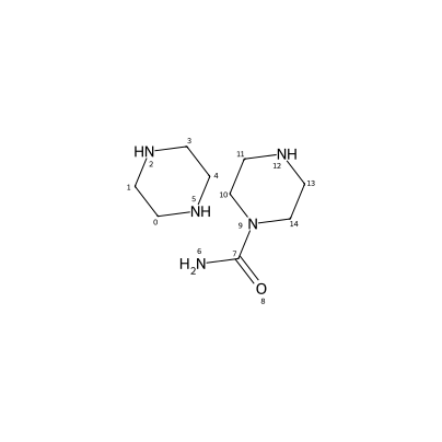 C1CNCCN1.NC(=O)N1CCNCC1